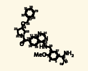 C/N=C(/N)c1ccc(OC)c(CNc2ncnc3cc(C(=O)N4CCC(OCc5ccccc5)C4)ccc23)c1